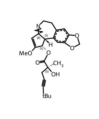 COC1=C[C@]23CCCN2CCc2cc4c(cc2[C@@H]3[C@@H]1OC(=O)[C@@](C)(O)CC#CC(C)(C)C)OCO4